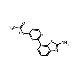 CC(=O)Nc1ccnc(-c2cccc3nc(N)sc23)n1